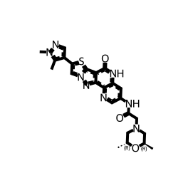 Cc1c(-c2cn3nc4c5ncc(NC(=O)CN6C[C@@H](C)O[C@H](C)C6)cc5[nH]c(=O)c4c3s2)cnn1C